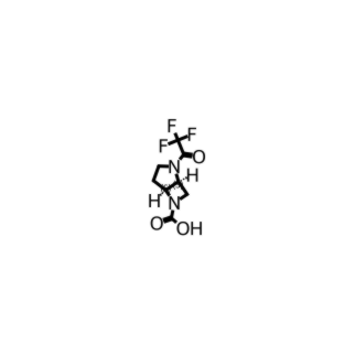 O=C(O)N1C[C@H]2[C@@H]1CCN2C(=O)C(F)(F)F